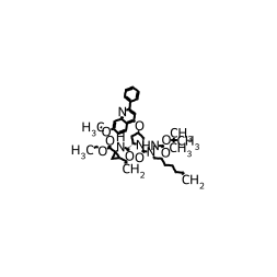 C=CCCCCCN(NC(=O)OC(C)(C)C)C(=O)N1C[C@H](Oc2cc(-c3ccccc3)nc3cc(OC)ccc23)C[C@H]1C(=O)N[C@]1(C(=O)OCC)CC1C=C